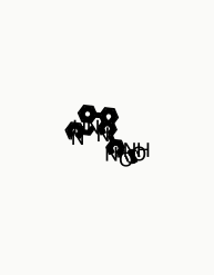 CS(=O)(=O)Nc1cncc(-c2cc3cccc(-c4ccccc4)c3c(NCc3ccccn3)n2)c1